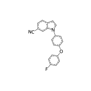 N#Cc1ccc2ccn(-c3ccc(Oc4ccc(F)cc4)cc3)c2c1